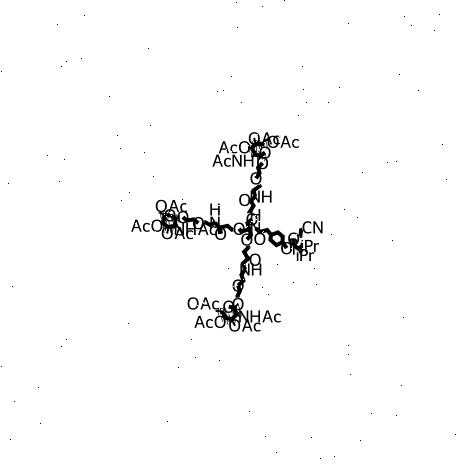 CC(=O)N[C@H]1[C@H](OCCOCCNCC(=O)CCOCC(COCCC(=O)NCCOCCO[C@@H]2O[C@H](COC(C)=O)[C@H](OC(C)=O)[C@H](OC(C)=O)[C@H]2NC(C)=O)(COCCC(=O)NCCOCCO[C@@H]2O[C@H](COC(C)=O)[C@H](OC(C)=O)[C@H](OC(C)=O)[C@H]2NC(C)=O)NC(=O)CC2CCC(OP(OCCC#N)N(C(C)C)C(C)C)CC2)O[C@H](COC(C)=O)[C@H](OC(C)=O)[C@@H]1OC(C)=O